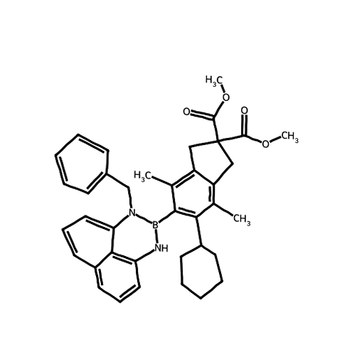 COC(=O)C1(C(=O)OC)Cc2c(C)c(B3Nc4cccc5cccc(c45)N3Cc3ccccc3)c(C3CCCCC3)c(C)c2C1